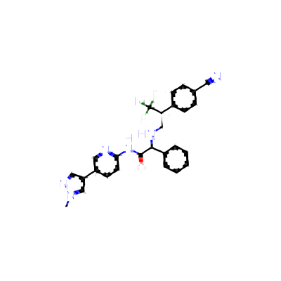 Cn1cc(-c2ccc(NC(=O)C(NC[C@H](c3ccc(C#N)cc3)C(F)(F)F)c3ccccc3)nc2)cn1